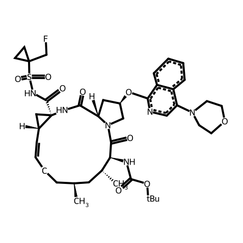 C[C@H]1CC/C=C\[C@@H]2C[C@@]2(C(=O)NS(=O)(=O)C2(CF)CC2)NC(=O)[C@@H]2C[C@@H](Oc3ncc(N4CCOCC4)c4ccccc34)CN2C(=O)[C@@H](NC(=O)OC(C)(C)C)[C@H](C)C1